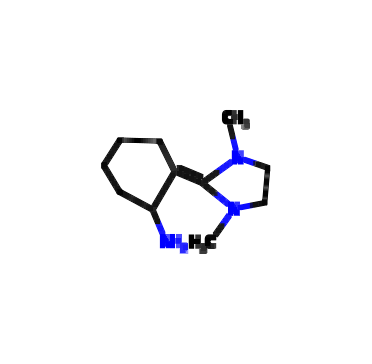 CN1CCN(C)C1=C1CCCCC1N